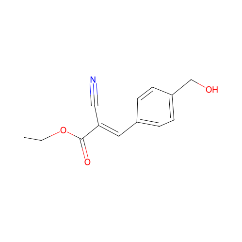 CCOC(=O)/C(C#N)=C/c1ccc(CO)cc1